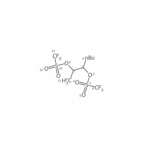 CCCCC(OS(=O)(=O)C(F)(F)F)C(C)OS(=O)(=O)C(F)(F)F